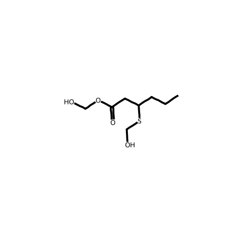 CCCC(CC(=O)OCO)SCO